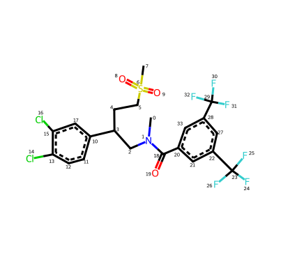 CN(CC(CCS(C)(=O)=O)c1ccc(Cl)c(Cl)c1)C(=O)c1cc(C(F)(F)F)cc(C(F)(F)F)c1